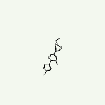 CCn1cc(-c2cnc(-c3ccc(F)cc3)c(C)c2)cn1